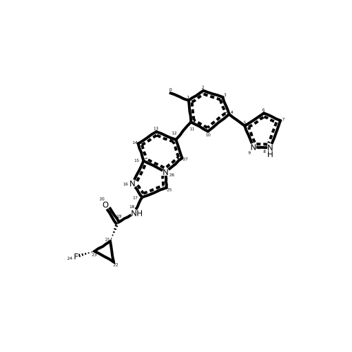 Cc1ccc(-c2cc[nH]n2)cc1-c1ccc2nc(NC(=O)[C@@H]3C[C@@H]3F)cn2c1